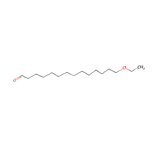 CCOCCCCCCCCCCCCCC=O